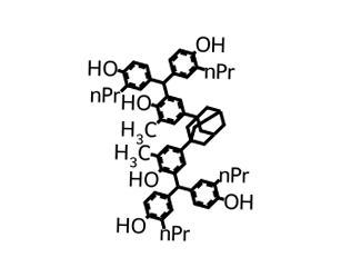 CCCc1cc(C(c2ccc(O)c(CCC)c2)c2cc(C34CC5CC(C3)CC(c3cc(C)c(O)c(C(c6ccc(O)c(CCC)c6)c6ccc(O)c(CCC)c6)c3)(C5)C4)cc(C)c2O)ccc1O